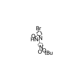 CC(C)(C)OC(=O)N1CCC(c2nc3ccc(Br)cc3c(=O)[nH]2)CC1